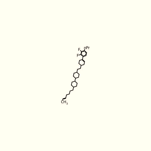 C/C=C/CCCCC1CCC(C2CCC(CCC3CC=C(c4ccc(CCC)c(F)c4F)CC3)CC2)CC1